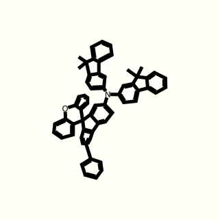 CC1(C)c2ccccc2-c2cc(N(c3ccc4c(c3)C(C)(C)c3ccccc3-4)c3ccc4c(c3)C3(c5ccccc5Oc5ccccc53)c3ccc(-c5ccccc5)cc3-4)ccc21